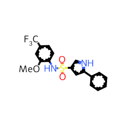 COc1cc(C(F)(F)F)ccc1NS(=O)(=O)c1c[nH]c(-c2ccccc2)c1